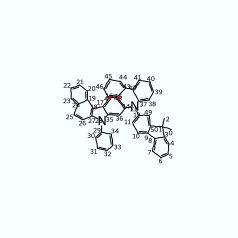 CC1(C)c2ccccc2-c2ccc(N(c3ccc4c5c6ccccc6ccc5n(-c5ccccc5)c4c3)c3ccccc3-c3ccccc3)cc21